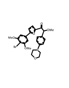 COc1cc(-c2ccc(C(=O)C(OC)c3ccc(N4CCOCC4)cc3)o2)cc(OC)c1Br